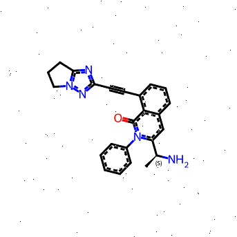 C[C@H](N)c1cc2cccc(C#Cc3nc4n(n3)CCC4)c2c(=O)n1-c1ccccc1